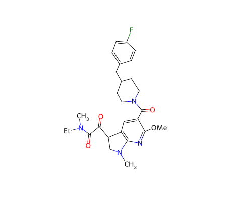 CCN(C)C(=O)C(=O)C1CN(C)c2nc(OC)c(C(=O)N3CCC(Cc4ccc(F)cc4)CC3)cc21